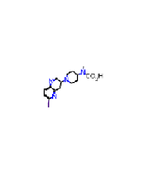 CN(C(=O)O)C1CCN(c2cnc3ccc(I)nc3c2)CC1